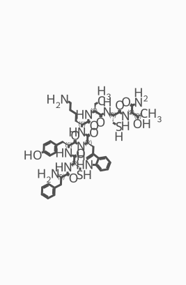 CC[C@H](NC(=O)[C@H](CCCCN)NC(=O)[C@@H](Cc1c[nH]c2ccccc12)NC(=O)[C@H](Cc1ccc(O)cc1)NC(=O)[C@H](CS)NC(=O)[C@H](N)Cc1ccccc1)C(=O)N[C@@H](CS)C(=O)N[C@H](C(N)=O)[C@@H](C)O